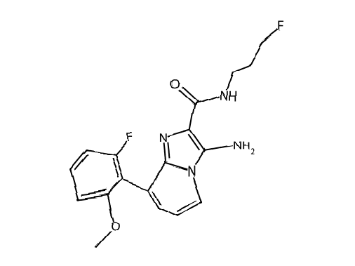 COc1cccc(F)c1-c1cccn2c(N)c(C(=O)NCCCF)nc12